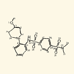 COC1CCN(c2ccccc2NS(=O)(=O)c2ccc(S(=O)(=O)N(C)C)cc2)CC1